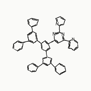 c1ccc(-c2cc(-c3ccccc3)cc(-c3cc(-c4cc(-c5ccccc5)cc(-c5ccccc5)c4)cc(-c4cc(-c5ccccn5)nc(-c5ccccn5)n4)c3)c2)cc1